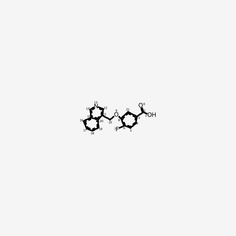 O=C(O)c1ccc(F)c(OCc2cncc3ccccc23)c1